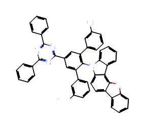 FC(F)(F)c1cccc(-c2cc(-c3nc(-c4ccccc4)nc(-c4ccccc4)n3)cc(-c3cccc(C(F)(F)F)c3)c2-n2c3ccccc3c3c4oc5ccccc5c4ccc32)c1